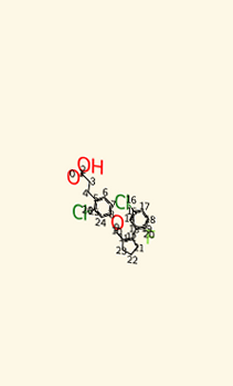 O=C(O)CCc1ccc(OCC2=C(c3cc(Cl)ccc3F)CCC2)cc1Cl